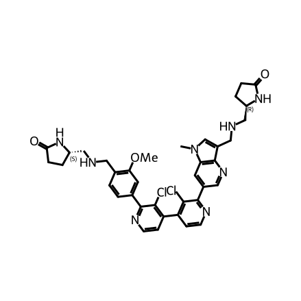 COc1cc(-c2nccc(-c3ccnc(-c4cnc5c(CNC[C@H]6CCC(=O)N6)cn(C)c5c4)c3Cl)c2Cl)ccc1CNC[C@@H]1CCC(=O)N1